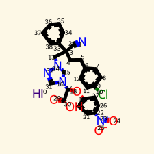 I.N#CC(CCc1ccc(Cl)cc1)(CN1CN(C(Oc2ccc([N+](=O)[O-])cc2)C(=O)O)C=N1)c1ccccc1